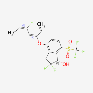 C=C/C(=C\C(F)=C/C)Oc1ccc(S(=O)(=O)C(F)(F)F)c2c1CC(F)(F)[C@H]2O